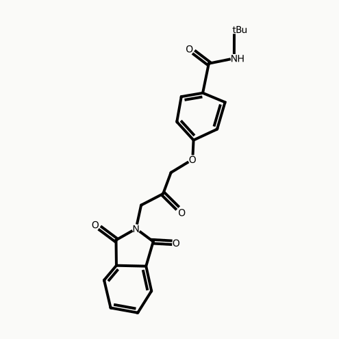 CC(C)(C)NC(=O)c1ccc(OCC(=O)CN2C(=O)c3ccccc3C2=O)cc1